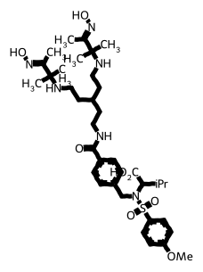 COc1ccc(S(=O)(=O)N(Cc2ccc(C(=O)NCCC(CCNC(C)(C)C(C)=NO)CCNC(C)(C)C(C)=NO)cc2)C(C(=O)O)C(C)C)cc1